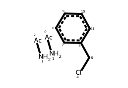 CC(N)=O.CC(N)=O.ClCc1ccccc1